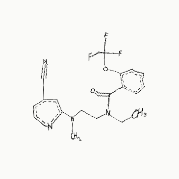 CCN(CCN(C)c1cc(C#N)ccn1)C(=O)c1ccccc1OC(F)(F)F